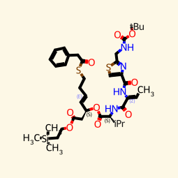 C/C=C(\NC(=O)c1csc(CNC(=O)OC(C)(C)C)n1)C(=O)N[C@H](C(=O)O[C@H](/C=C/CCSC(=O)Cc1ccccc1)CC(=O)OCC[Si](C)(C)C)C(C)C